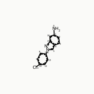 Nc1ccc2cn(-c3ccc(Cl)cc3)nc2c1